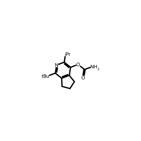 CC(C)c1nc(C(C)(C)C)c2c(c1OC(N)=O)CCC2